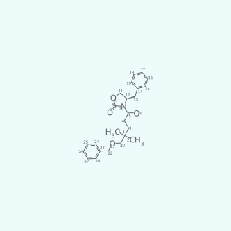 CC(C)(CCC(=O)N1C(=O)OC[C@H]1Cc1ccccc1)COCc1ccccc1